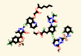 CCCCCC(C)OC(=O)COc1ccc(Cl)c2cccnc12.CCOC(=O)C(Cl)Cc1cc(-n2nc(C)n(C(F)F)c2=O)c(F)cc1Cl.COc1ncc(F)c2nc(S(=O)(=O)Nc3c(F)cccc3F)nn12.Cc1nn(C)c(O)c1C(=O)c1ccc(C(F)(F)F)cc1S(C)(=O)=O